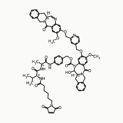 COc1cc2c(cc1OCc1ccnc(COc3cc4c(cc3OC)C(=O)N3Cc5ccccc5C[C@H]3C=N4)c1)N(C(=O)OCc1ccc(NC(=O)[C@H](C)NC(=O)[C@@H](NC(=O)CCCCCN3C(=O)C=CC3=O)C(C)C)cc1)C(O)[C@@H]1Cc3ccccc3CN1C2=O